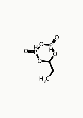 CCC1O[PH](=O)O[PH](=O)O1